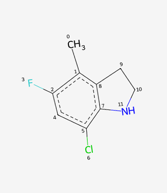 Cc1c(F)cc(Cl)c2c1CCN2